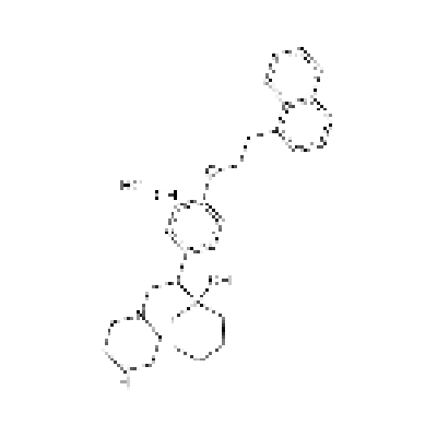 Cl.Cl.OC1(C(CN2CCNCC2)c2ccc(OCCc3cccc4ccccc34)cc2)CCCCC1